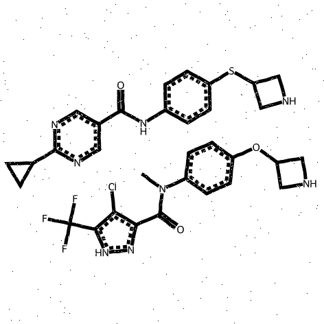 CN(C(=O)c1n[nH]c(C(F)(F)F)c1Cl)c1ccc(OC2CNC2)cc1.O=C(Nc1ccc(SC2CNC2)cc1)c1cnc(C2CC2)nc1